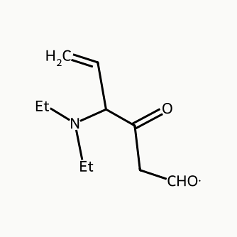 C=CC(C(=O)C[C]=O)N(CC)CC